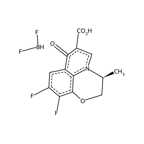 C[C@H]1COc2c(F)c(F)cc3c(=O)c(C(=O)O)cn1c23.FBF